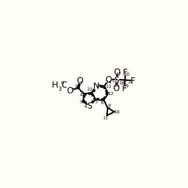 COC(=O)c1csc2c(C3CC3)cc(OS(=O)(=O)C(F)(F)F)nc12